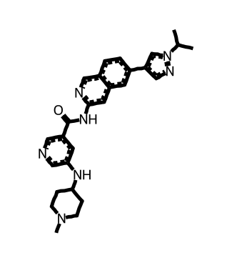 CC(C)n1cc(-c2ccc3cnc(NC(=O)c4cncc(NC5CCN(C)CC5)c4)cc3c2)cn1